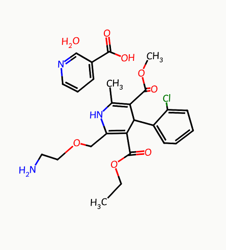 CCOC(=O)C1=C(COCCN)NC(C)=C(C(=O)OC)C1c1ccccc1Cl.O.O=C(O)c1cccnc1